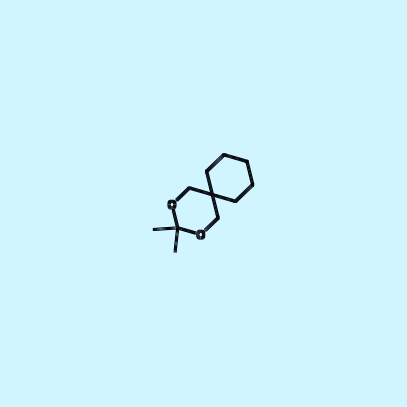 CC1(C)OCC2(CCCCC2)CO1